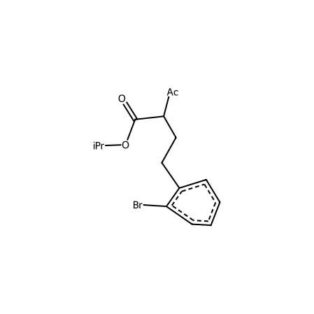 CC(=O)C(CCc1ccccc1Br)C(=O)OC(C)C